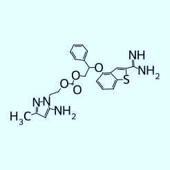 Cc1cc(N)n(CCOC(=O)OCC(Oc2cccc3sc(C(=N)N)cc23)c2ccccc2)n1